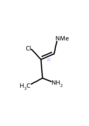 CN/C=C(\Cl)C(C)N